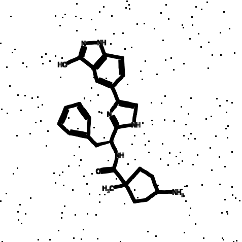 CC1(C(=O)N[C@@H](Cc2ccccc2)c2nc(-c3ccc4[nH]nc(O)c4c3)c[nH]2)CCC(N)CC1